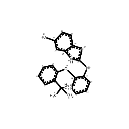 CC(C)(C)c1ccccc1Oc1ncccc1Nc1nc2ccc(O)cc2[nH]1